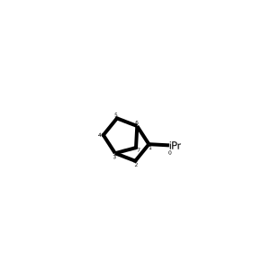 CC(C)[C]1CC2CCC1C2